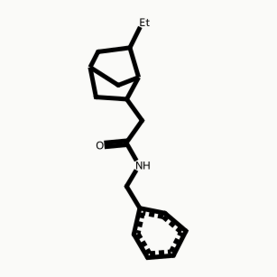 CCC1CC2CC(CC(=O)NCc3ccccc3)C1C2